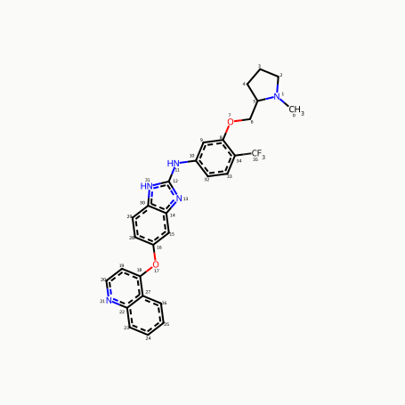 CN1CCCC1COc1cc(Nc2nc3cc(Oc4ccnc5ccccc45)ccc3[nH]2)ccc1C(F)(F)F